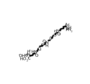 CC(=O)[C@H](CCCCNC(=O)COCCOCCNC(=O)COCCOCCNC(=O)CC[C@H](NC=O)C(=O)O)NP